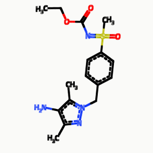 CCOC(=O)N=S(C)(=O)c1ccc(Cn2nc(C)c(N)c2C)cc1